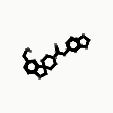 NCc1ccc2c(c1)C1(CCN(C(=O)Cc3ccc4c(c3)OCO4)CC1)CO2